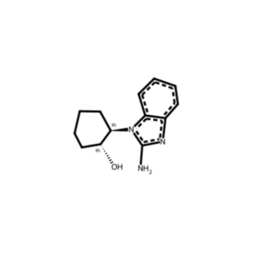 Nc1nc2ccccc2n1[C@@H]1CCCC[C@H]1O